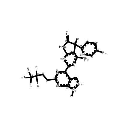 Cn1ncc2c(-c3nc(N)c4c(n3)NC(=O)C4(C)c3ccc(F)cn3)nc(CCC(F)(F)C(F)(F)F)nc21